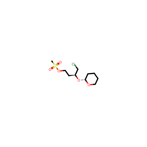 CS(=O)(=O)OCC[C@@H](CCl)O[C@@H]1CCCCO1